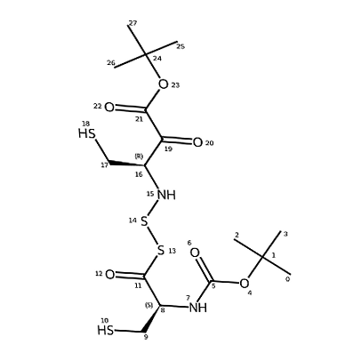 CC(C)(C)OC(=O)N[C@@H](CS)C(=O)SSN[C@@H](CS)C(=O)C(=O)OC(C)(C)C